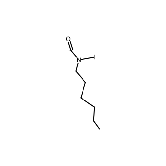 CCCCCCN(I)[C]=O